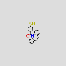 O=C(c1ccc(S)cc1)N1c2ccccc2C=Cc2ccccc21